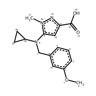 COc1cccc(CN(c2cc(C(=O)O)nn2C)C2CC2)c1